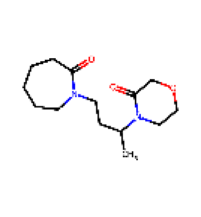 CC(CCN1CCCCCC1=O)N1CCOCC1=O